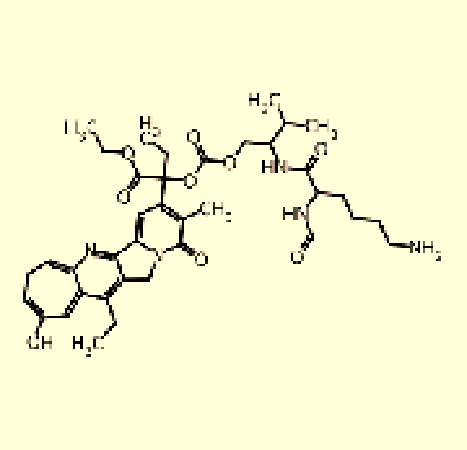 CCOC(=O)C(CC)(OC(=O)OCC(NC(=O)C(CCCCN)NC=O)C(C)C)c1cc2n(c(=O)c1C)Cc1c-2nc2c(c1CC)=CC(O)=CCC=2